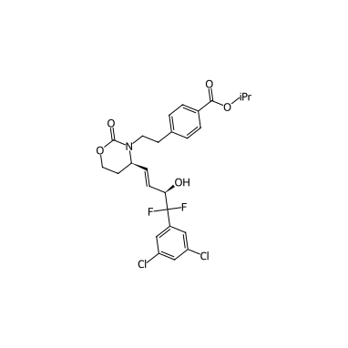 CC(C)OC(=O)c1ccc(CCN2C(=O)OCC[C@@H]2/C=C/[C@@H](O)C(F)(F)c2cc(Cl)cc(Cl)c2)cc1